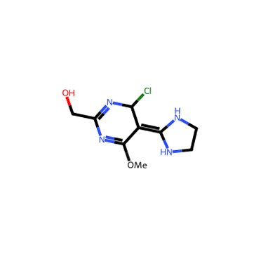 COC1=NC(CO)=NC(Cl)C1=C1NCCN1